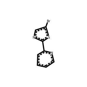 Brc1cnc(-c2ccccn2)s1